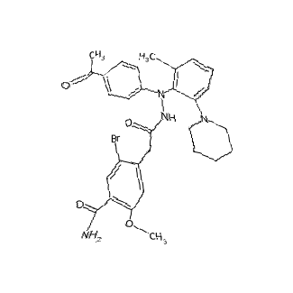 COc1cc(CC(=O)NN(c2ccc(C(C)=O)cc2)c2c(C)cccc2N2CCCCC2)c(Br)cc1C(N)=O